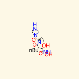 CCCCC(C(=O)N1CCC[C@H]1C(=O)N1CCNCC1)C(O)C(=O)NO